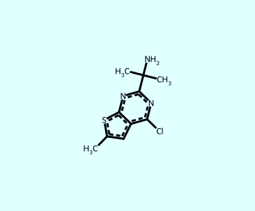 Cc1cc2c(Cl)nc(C(C)(C)N)nc2s1